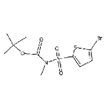 CN(C(=O)OC(C)(C)C)S(=O)(=O)c1ccc(Br)s1